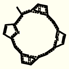 Cc1c2nc(cc3ccc(cc4nc(cc5ccc1[nH]5)C=C4)[nH]3)C=C2